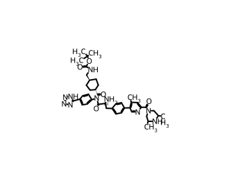 Cc1cc(C(=O)N2CC(C)NC(C)C2)ncc1-c1ccc(C[C@H](N)C(=O)N(c2ccc(-c3nnn[nH]3)cc2)C(=O)[C@H]2CC[C@H](CNC(=O)OC(C)(C)C)CC2)cc1